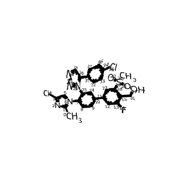 Cc1nc(Cl)cn1-c1ccc(-c2cc(F)c(CO)c(S(C)(=O)=O)c2)cc1-n1nncc1-c1ccc(Cl)cc1